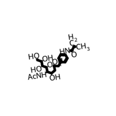 C=C(C)C(=O)Nc1ccc([CH][C@]2(O)C[C@H](O)[C@@H](NC(C)=O)[C@H]([C@H](O)[C@H](O)CO)O2)cc1